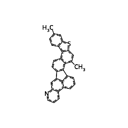 Cc1ccc2c(c1)sc1cc(C)c3c4c(ccc3c12)-c1cc2ncccc2c2cccc-4c12